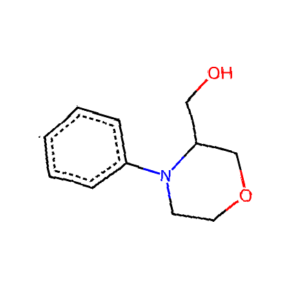 OCC1COCCN1c1cc[c]cc1